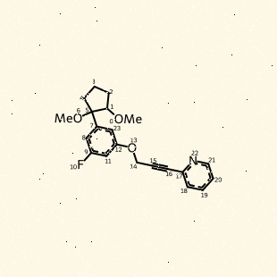 COC1CCCC1(OC)c1cc(F)cc(OCC#Cc2ccccn2)c1